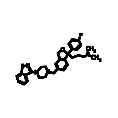 CN(C)CCCC1(c2ccc(F)cc2)OCc2cc(CN3CCN(c4nsc5ccccc45)CC3)ccc21